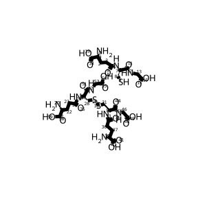 N[C@@H](CCC(=O)N[C@@H](CS)C(=O)NCC(=O)O)C(=O)O.N[C@@H](CCC(=O)N[C@@H](CSSC[C@H](NC(=O)CC[C@H](N)C(=O)O)C(=O)NCC(=O)O)C(=O)NCC(=O)O)C(=O)O